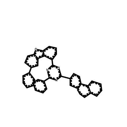 c1ccc(-c2ccc3oc4cccc(-c5nc(-c6ccccc6)nc(-c6ccc7c(ccc8ccccc87)c6)n5)c4c3c2)cc1